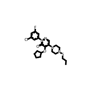 CCCSN1CCN(c2cnn(-c3cc(F)cc(Cl)c3)c(=O)c2OC2CCCC2)CC1